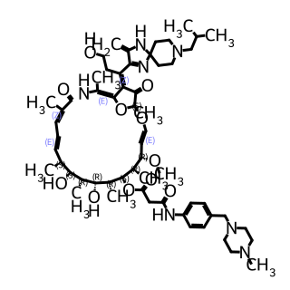 C=C1NC2(CCN(CC(C)C)CC2)N=C1/C(CCO)=C1C(=O)[C@@]2(C)O/C=C/[C@H](OC)[C@@H](C)[C@@H](OC(=O)CC(=O)Nc3ccc(CN4CCN(C)CC4)cc3)[C@H](C)[C@H](O)[C@H](C)[C@@H](O)[C@@H](C)/C=C/C=C(/C)C(=O)N/C(C)=C\1O2